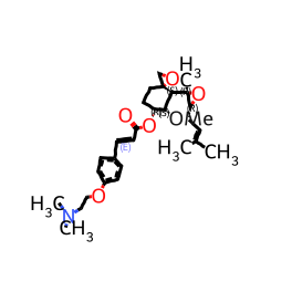 CO[C@@H]1[C@H](OC(=O)/C=C/c2ccc(OCCN(C)C)cc2)CCC2(CO2)[C@H]1[C@@]1(C)O[C@@H]1CC=C(C)C